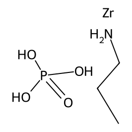 CCCN.O=P(O)(O)O.[Zr]